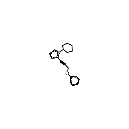 C(#Cc1cccn1C1CCCCC1)COc1ccccc1